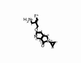 NC/C(=C\F)COc1cc2c(cn1)C(=O)N(C1CC1)C2